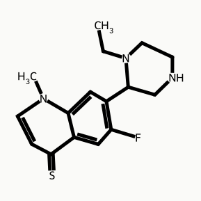 CCN1CCNCC1c1cc2c(cc1F)c(=S)ccn2C